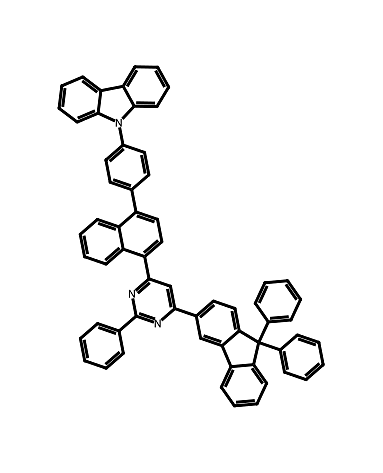 c1ccc(-c2nc(-c3ccc4c(c3)-c3ccccc3C4(c3ccccc3)c3ccccc3)cc(-c3ccc(-c4ccc(-n5c6ccccc6c6ccccc65)cc4)c4ccccc34)n2)cc1